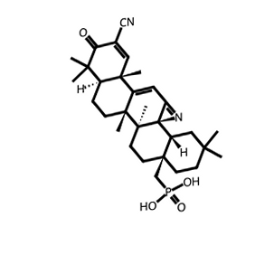 CC1(C)CC[C@]2(CP(=O)(O)O)CC[C@@]3(C)[C@]4(C)CC[C@H]5C(C)(C)C(=O)C(C#N)=C[C@]5(C)C4=CC4=N[C@]43[C@@H]2C1